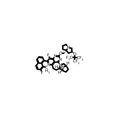 Cc1c(F)ccc2cccc(-c3nc4c5c(nc(OC[C@]67CCCN6C[C@@H](OC(C(F)(F)F)(C(F)(F)F)C(F)(F)F)C7)nc5c3F)N3C[C@H]5CC[C@H](N5)[C@H]3CC4)c12